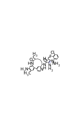 C/C(=C(/N)C(=O)NC1CCCC(C)C(=O)Nc2cc(N)c(C)cc2-c2ccnc1c2)N(N)c1cccc(Cl)c1F